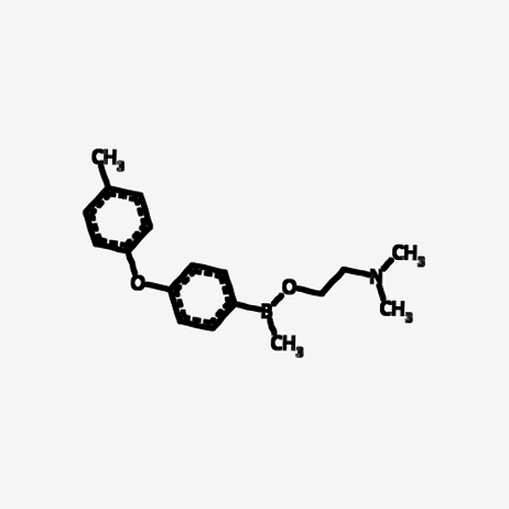 CB(OCCN(C)C)c1ccc(Oc2ccc(C)cc2)cc1